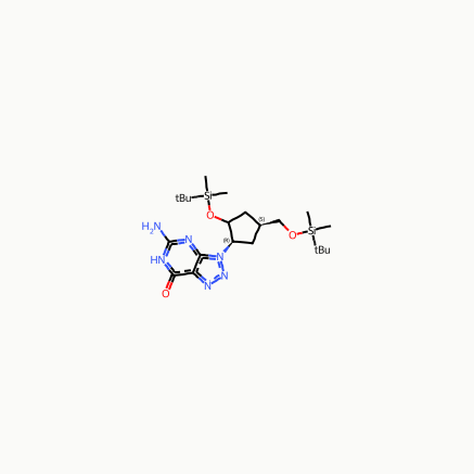 CC(C)(C)[Si](C)(C)OC[C@@H]1CC(O[Si](C)(C)C(C)(C)C)[C@H](n2nnc3c(=O)[nH]c(N)nc32)C1